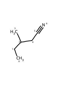 CC[C](C)CC#N